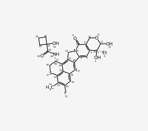 CC[C@]1(O)c2cc3n(c(=O)c2COC1O)Cc1c-3nc2cc(F)c(C)c3c2c1[C@@H](NC(=O)C1(O)CCC1)CS3